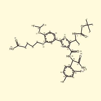 CC(NC(=O)OC(C)(C)C)c1oc(-c2ccc(OC(F)F)c(OCCCCC(=O)O)c2)nc1C(=O)NC(C(N)=O)c1ccc(F)cc1F